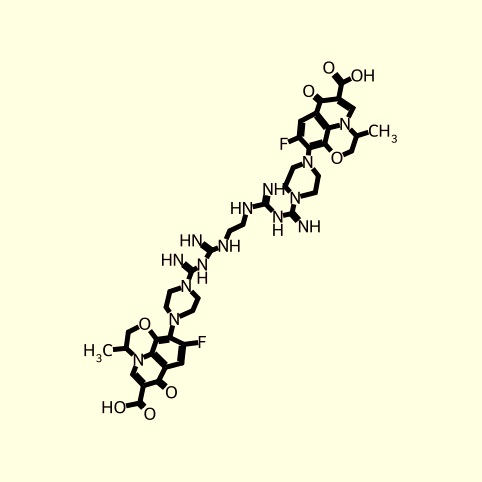 CC1COc2c(N3CCN(C(=N)NC(=N)NCCNC(=N)NC(=N)N4CCN(c5c(F)cc6c(=O)c(C(=O)O)cn7c6c5OCC7C)CC4)CC3)c(F)cc3c(=O)c(C(=O)O)cn1c23